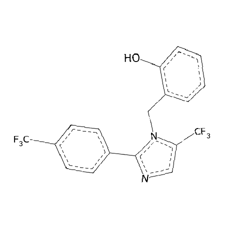 Oc1ccccc1Cn1c(C(F)(F)F)cnc1-c1ccc(C(F)(F)F)cc1